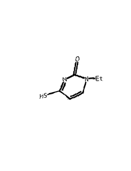 CCn1c[c]c(S)nc1=O